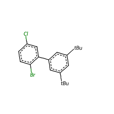 CC(C)(C)c1cc(-c2cc(Cl)ccc2Br)cc(C(C)(C)C)c1